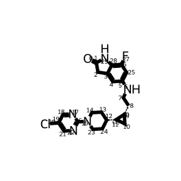 O=C1Cc2cc(NCC[C@@H]3C[C@@H]3C3CCN(c4ncc(Cl)cn4)CC3)cc(F)c2N1